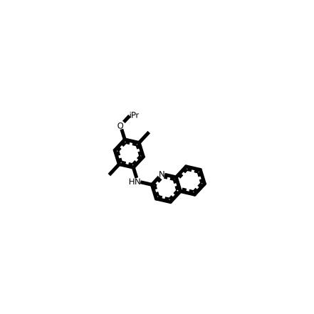 Cc1cc(OC(C)C)c(C)cc1Nc1ccc2ccccc2n1